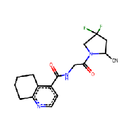 N#CC1CC(F)(F)CN1C(=O)CNC(=O)c1ccnc2c1CCCC2